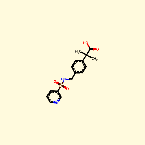 CC(C)(C(=O)O)c1ccc(CNS(=O)(=O)c2cccnc2)cc1